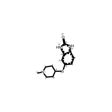 CN1CCC(Sc2ccc3[nH]c(=O)[nH]c3c2)CC1